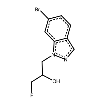 OC(CF)Cn1ncc2ccc(Br)cc21